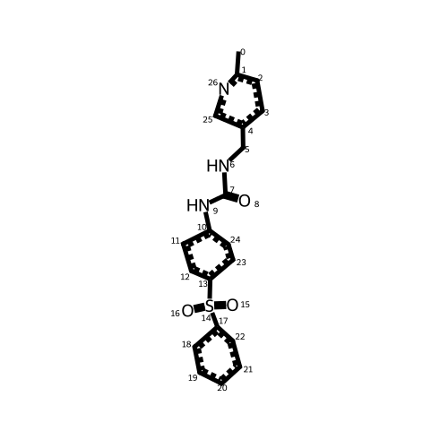 Cc1ccc(CNC(=O)Nc2ccc(S(=O)(=O)c3ccccc3)cc2)cn1